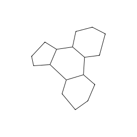 C1CCC2C(C1)C1CCCCC1C1CCCC21